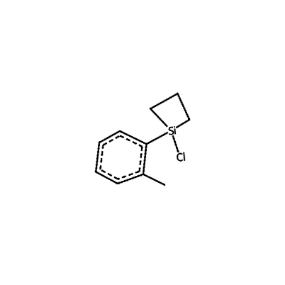 Cc1ccccc1[Si]1(Cl)CCC1